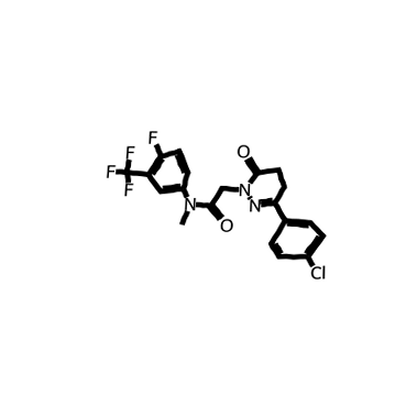 CN(C(=O)CN1N=C(c2ccc(Cl)cc2)CCC1=O)c1ccc(F)c(C(F)(F)F)c1